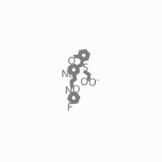 O=C([O-])CCSC1c2ccccc2COc2ccc(/C=C/c3nc4cc(F)ccc4o3)cc21.[Na+]